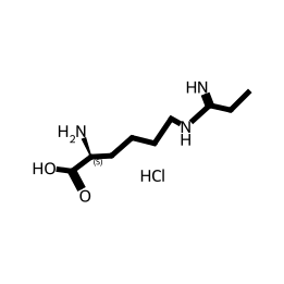 CCC(=N)NCCCC[C@H](N)C(=O)O.Cl